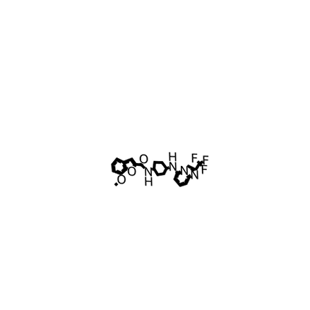 COc1cccc2cc(C(=O)NC3CCC(Nc4cccc5nc(C(F)(F)F)cn45)CC3)oc12